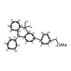 COCc1ccc(-c2ccc3c(c2)C(C)(C)c2ccccc2N3c2ccccc2)cc1